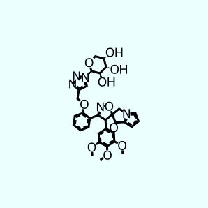 COc1cc(C2C(c3ccccc3OCc3cn([C@H]4OC[C@H](O)[C@H](O)[C@H]4O)nn3)=NOC23Cn2cccc2C3=O)cc(OC)c1OC